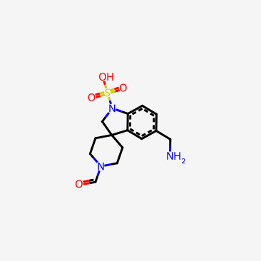 NCc1ccc2c(c1)C1(CCN(C=O)CC1)CN2S(=O)(=O)O